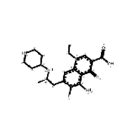 CCn1cc(C(=O)O)c(=O)c2c(N)c(F)c(C[C@@H](C)NC3CCNCC3)cc21